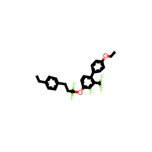 CCOc1ccc(-c2ccc(OC(F)(F)CCc3ccc(CC)cc3)c(F)c2C(F)F)cc1